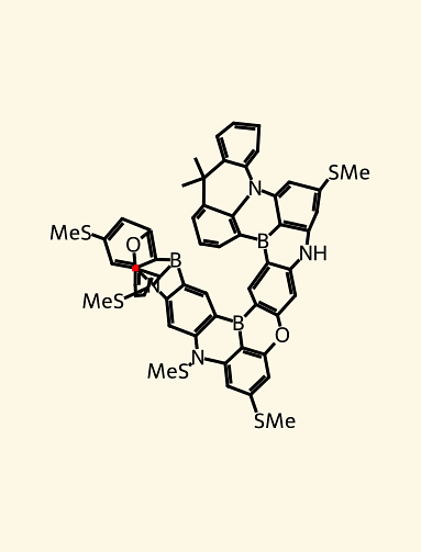 CSc1cc2c3c(c1)N(SC)c1cc4c(cc1B3c1ccccc1O2)B1c2cc3c(cc2Oc2cc(SC)cc(c21)N4SC)Nc1cc(SC)cc2c1B3c1cccc3c1N2c1ccccc1C3(C)C